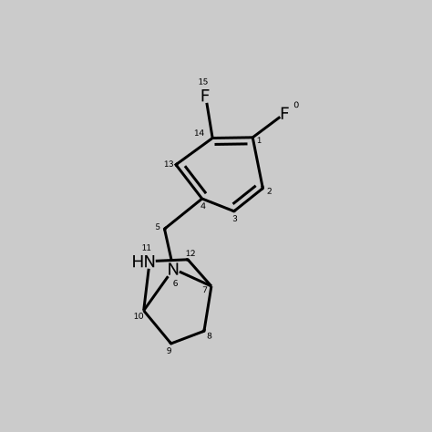 Fc1ccc(CN2C3CCC2NC3)cc1F